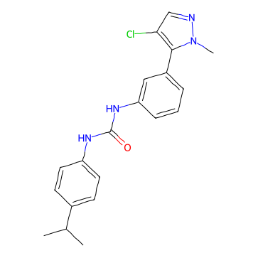 CC(C)c1ccc(NC(=O)Nc2cccc(-c3c(Cl)cnn3C)c2)cc1